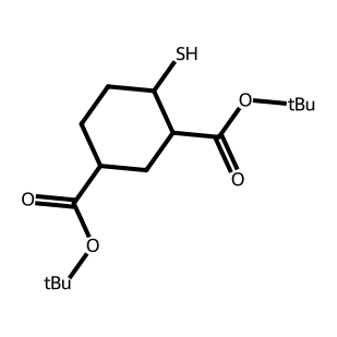 CC(C)(C)OC(=O)C1CCC(S)C(C(=O)OC(C)(C)C)C1